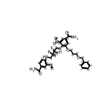 NC(=O)c1ccc(NCC(F)(F)C(F)(F)CNc2c(OCCCOCc3ccccc3)cc(C(N)=O)cc2[N+](=O)[O-])c(N=O)c1